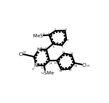 CSc1ccccc1-c1nc(Cl)nc(SC)c1-c1ccc(Cl)cc1